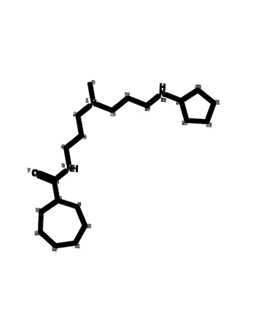 CN(CCCNC(=O)C1CCCCCC1)CCCNC1CCCC1